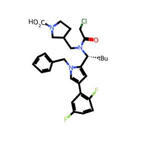 CC(C)(C)[C@H](c1cc(-c2cc(F)ccc2F)cn1Cc1ccccc1)N(CC1CCN(C(=O)O)C1)C(=O)CCl